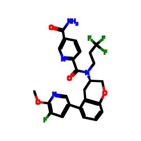 COc1ncc(-c2cccc3c2C[C@H](N(CCC(F)(F)F)C(=O)c2ccc(C(N)=O)cn2)CO3)cc1F